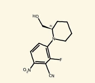 N#Cc1c([N+](=O)[O-])ccc(N2CCCC[C@@H]2CO)c1F